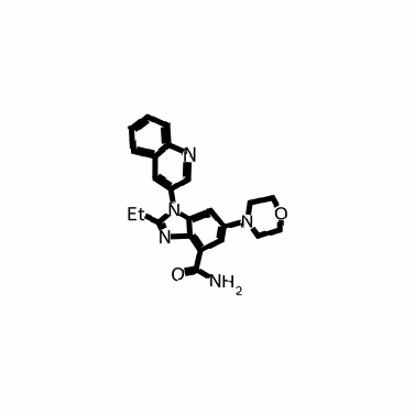 CCc1nc2c(C(N)=O)cc(N3CCOCC3)cc2n1-c1cnc2ccccc2c1